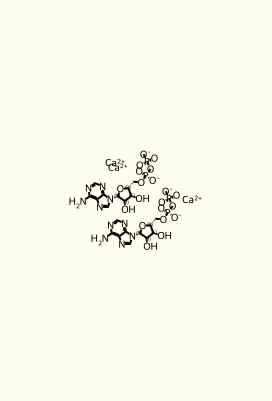 Nc1ncnc2c1ncn2[C@@H]1O[C@H](COP(=O)([O-])OP(=O)([O-])[O-])[C@@H](O)[C@H]1O.Nc1ncnc2c1ncn2[C@@H]1O[C@H](COP(=O)([O-])OP(=O)([O-])[O-])[C@@H](O)[C@H]1O.[Ca+2].[Ca+2].[Ca+2]